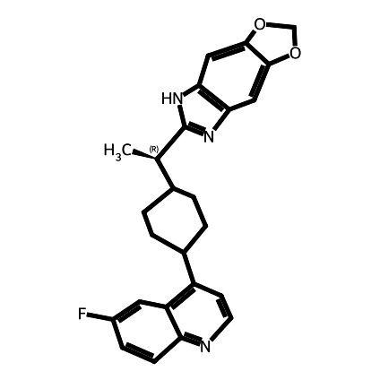 C[C@@H](c1nc2cc3c(cc2[nH]1)OCO3)C1CCC(c2ccnc3ccc(F)cc23)CC1